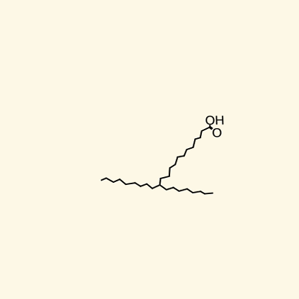 CCCCCCCCCC(CCCCCCCC)CCCCCCCCCCCC(=O)O